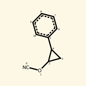 N#COC1CC1c1ccccc1